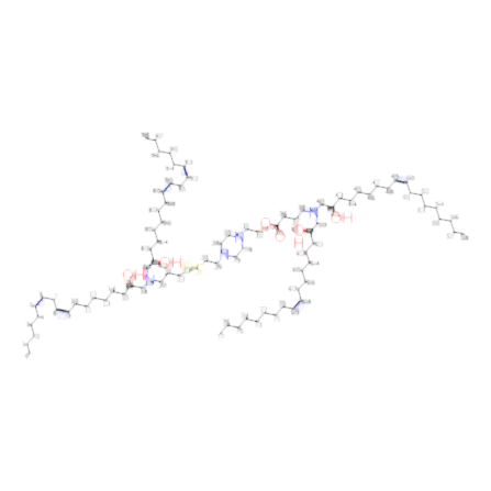 CCCCC/C=C\C/C=C\CCCCCC[C@H](O)CN(CCCSSCCN1CCN(CCOC(=O)CCCN(C[C@H](O)CCCCCC/C=C\CCCCCCCC)C[C@H](O)CCCCCC/C=C\CCCCCCCC)CC1)C[C@@H](O)CCCCCC/C=C\C/C=C\CCCCC